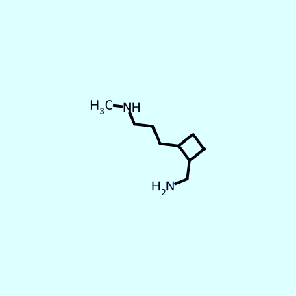 CNCCCC1CCC1CN